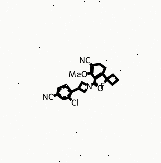 COC1=C(C#N)CCC(C2(F)CCC2)=C1C(=O)N1CC(c2ccc(C#N)cc2Cl)C1